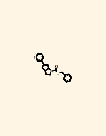 O=C(OCc1ccccc1)N1CCC2CC(c3cccnc3)=CC21